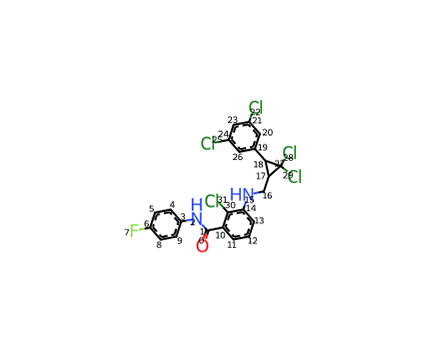 O=C(Nc1ccc(F)cc1)c1cccc(NCC2C(c3cc(Cl)cc(Cl)c3)C2(Cl)Cl)c1Cl